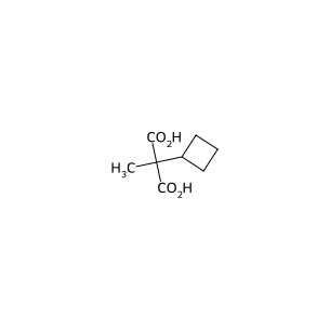 CC(C(=O)O)(C(=O)O)C1CCC1